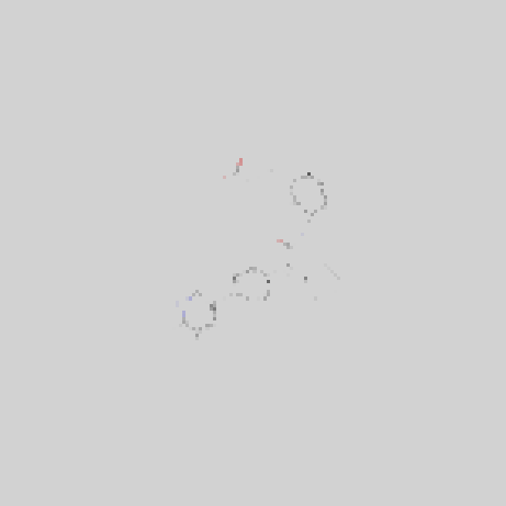 Cc1ncc(-c2ccc([C@@H](C(=O)Nc3cccc([C@@H](C)CC(=O)O)c3C)C3CCCC3)cc2F)cc1Cl